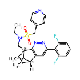 CCN(C[C@@]12CC[C@@H](c3cc(-c4c(F)cccc4F)nnc31)C2(C)C)S(=O)(=O)Cc1ccncc1